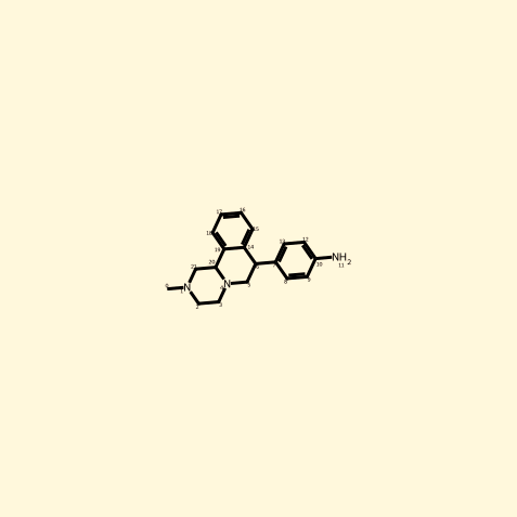 CN1CCN2CC(c3ccc(N)cc3)c3ccccc3C2C1